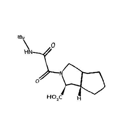 CC(C)(C)NC(=O)C(=O)N1CC2CCC[C@@H]2[C@H]1C(=O)O